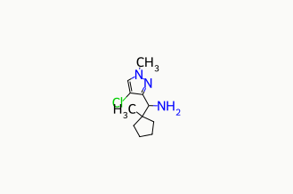 Cn1cc(Cl)c(C(N)C2(C)CCCC2)n1